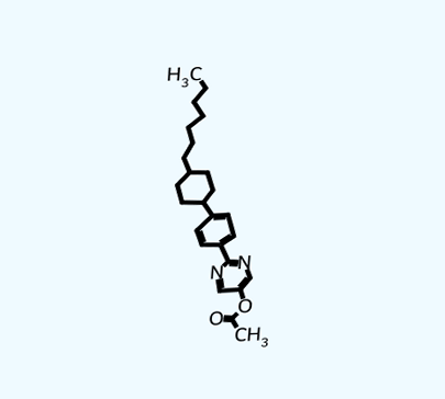 CCCCCCCC1CCC(c2ccc(-c3ncc(OC(C)=O)cn3)cc2)CC1